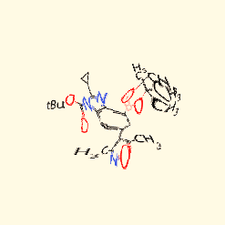 Cc1noc(C)c1-c1cc(B2OC(C)(C)C(C)(C)O2)c2nc(C3CC3)n(C(=O)OC(C)(C)C)c2c1